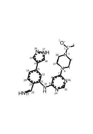 C[S+]([O-])N1CCN(c2cc(Nc3cc(-c4cn[nH]c4)ccc3C=N)ncn2)CC1